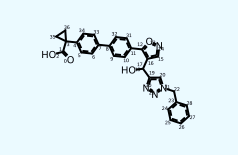 O=C(O)C1(c2ccc(-c3ccc(-c4oncc4C(O)c4cn(Cc5ccccc5)nn4)cc3)cc2)CC1